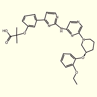 CCOc1ccccc1O[C@@H]1CCCN(c2cncc(Nc3nccc(-c4cccc(OC(C)(C)C(=O)O)c4)n3)n2)C1